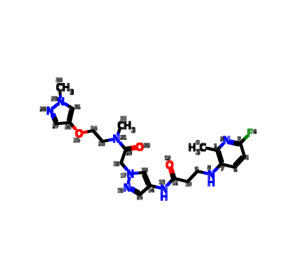 Cc1nc(F)ccc1NCCC(=O)Nc1cnn(CC(=O)N(C)CCOc2cnn(C)c2)c1